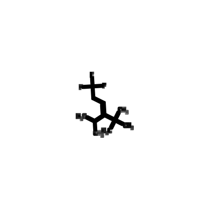 CC(C)/C(=C\CC(F)(F)F)C(C)(C)C